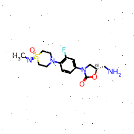 CN=S1(=O)CCN(c2ccc(N3C[C@H](CN)OC3=O)cc2F)CC1